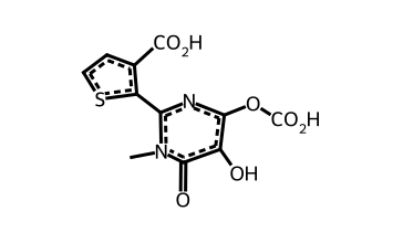 Cn1c(-c2sccc2C(=O)O)nc(OC(=O)O)c(O)c1=O